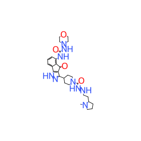 CN1CCCC1CCNNC(=O)N1CCC(c2n[nH]c3c2C(=O)c2c(NC(=O)NN4CCOCC4)cccc2-3)CC1